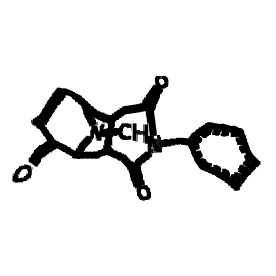 CN1C2C=CC(=O)C1C1C(=O)N(c3ccccc3)C(=O)C12